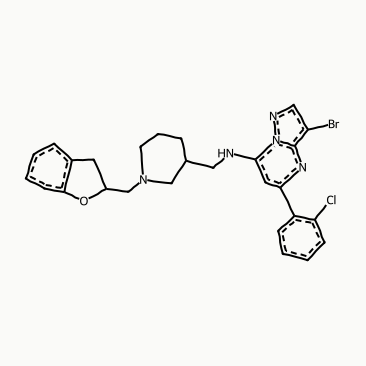 Clc1ccccc1-c1cc(NCC2CCCN(CC3Cc4ccccc4O3)C2)n2ncc(Br)c2n1